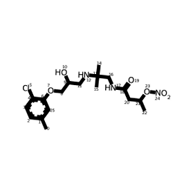 Cc1ccc(Cl)c(OCC(O)CNC(C)(C)CNC(=O)CC(C)O[N+](=O)[O-])c1